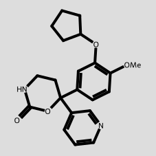 COc1ccc(C2(c3cccnc3)CCNC(=O)O2)cc1OC1CCCC1